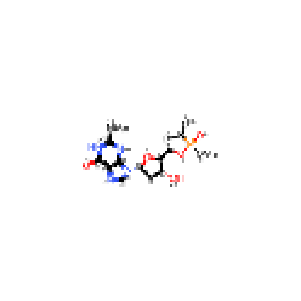 CCCC(CC)P(=O)(OC)OCC1O[C@@H](n2cnc3c(=O)[nH]c(NC)nc32)C[C@H]1O